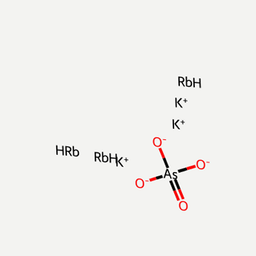 O=[As]([O-])([O-])[O-].[K+].[K+].[K+].[RbH].[RbH].[RbH]